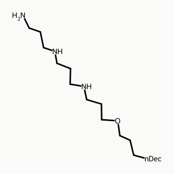 CCCCCCCCCCCCCOCCCNCCCNCCCN